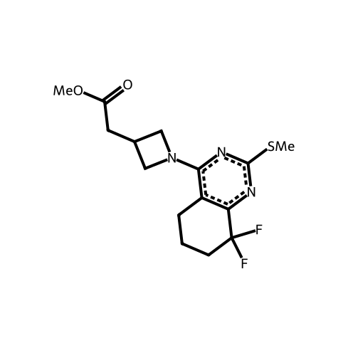 COC(=O)CC1CN(c2nc(SC)nc3c2CCCC3(F)F)C1